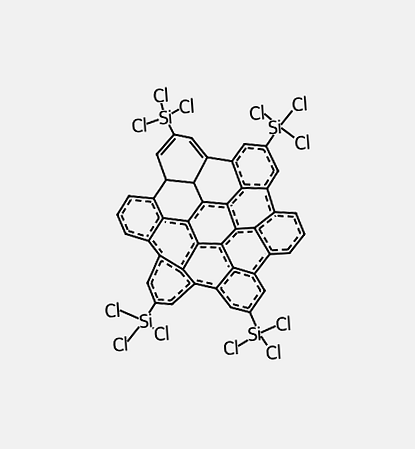 Cl[Si](Cl)(Cl)C1=CC2c3cccc4c5cc([Si](Cl)(Cl)Cl)cc6c7cc([Si](Cl)(Cl)Cl)cc8c9cccc%10c%11cc([Si](Cl)(Cl)Cl)cc%12c%11c%11c(c(c34)c(c56)c(c87)c%11c%109)C2C%12=C1